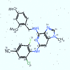 COc1ccc(CNc2nc(Nc3c(F)cc(C#N)cc3Cl)cc3c2ncn3C)c(OC)c1